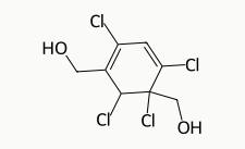 OCC1=C(Cl)C=C(Cl)C(Cl)(CO)C1Cl